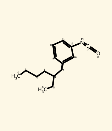 CCCCC(CC)Cc1cccc(N=C=O)c1